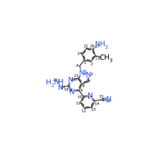 Cc1cc(Cn2ncc3c(-c4cccc(C#N)n4)nc(NN)nc32)ccc1N